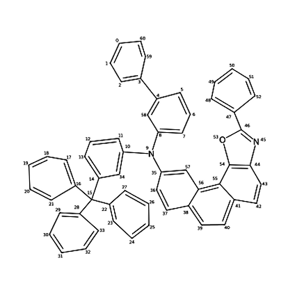 c1ccc(-c2cccc(N(c3cccc(C(c4ccccc4)(c4ccccc4)c4ccccc4)c3)c3ccc4ccc5ccc6nc(-c7ccccc7)oc6c5c4c3)c2)cc1